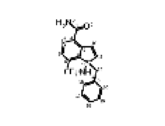 NC(=O)c1ncc(C(F)(F)F)c2c1C=CS2(N)Cc1ccccc1